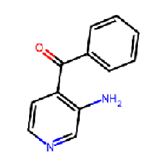 Nc1cnccc1C(=O)c1ccccc1